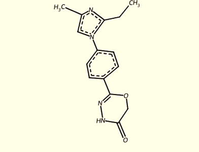 CCc1nc(C)cn1-c1ccc(C2=NNC(=O)CO2)cc1